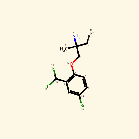 CC(C)CC(C)(N)COc1ccc(Br)cc1C(F)F